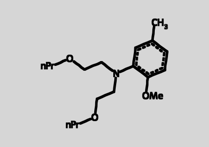 CCCOCCN(CCOCCC)c1cc(C)ccc1OC